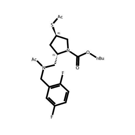 CCCCOC(=O)N1C[C@H](SC(C)=O)C[C@H]1CN(Cc1cc(F)ccc1F)C(C)=O